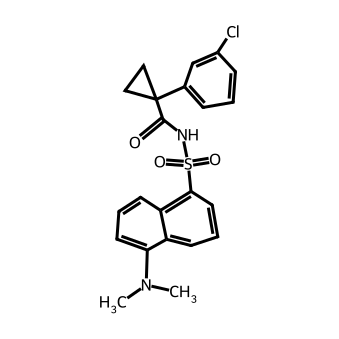 CN(C)c1cccc2c(S(=O)(=O)NC(=O)C3(c4cccc(Cl)c4)CC3)cccc12